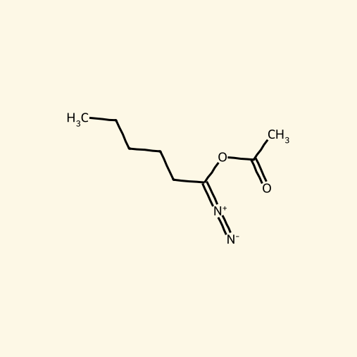 CCCCCC(=[N+]=[N-])OC(C)=O